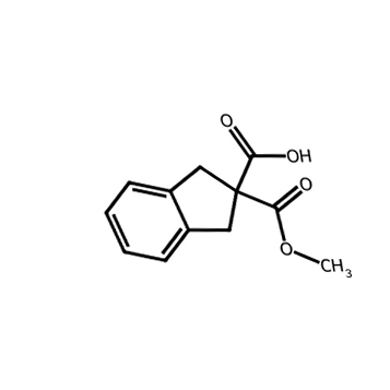 COC(=O)C1(C(=O)O)Cc2ccccc2C1